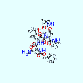 CC(C)(C)NC(=O)O[C@H]1C[C@@H](C(=O)NC(C)(C)C)N(C(=O)[C@@H](O)[C@H](Cc2ccccc2)NC(=O)[C@H](CC(N)=O)NC(=O)OCc2ccccc2)C1